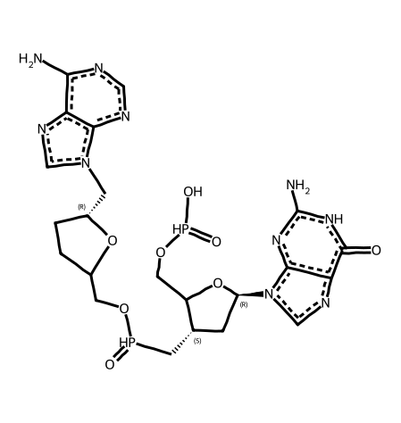 Nc1nc2c(ncn2[C@H]2C[C@H](C[PH](=O)OCC3CC[C@H](Cn4cnc5c(N)ncnc54)O3)C(CO[PH](=O)O)O2)c(=O)[nH]1